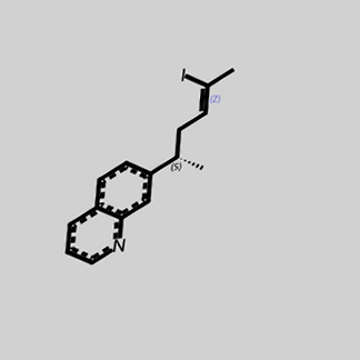 C/C(I)=C/C[C@H](C)c1ccc2cccnc2c1